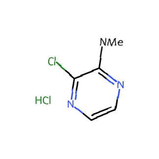 CNc1nccnc1Cl.Cl